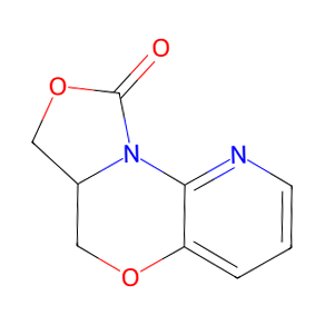 O=C1OCC2COc3cccnc3N12